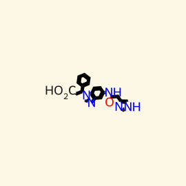 O=C(O)CC(c1ccccc1)n1cnc2cc(NC(=O)Cc3c[nH]cn3)ccc21